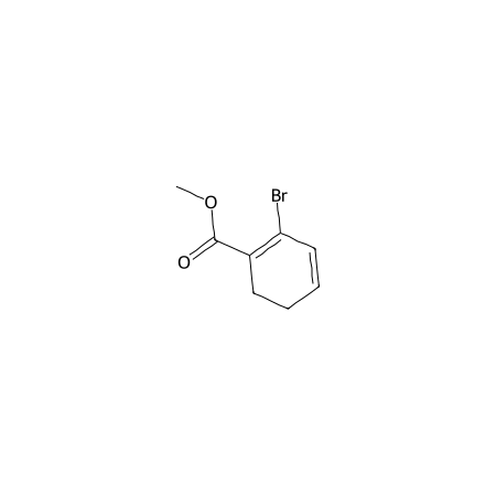 COC(=O)C1=C(Br)C=CCC1